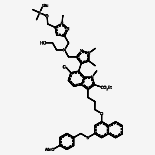 CCOC(=O)c1c(CCCOc2cc(SCc3ccc(OC)cc3)cc3ccccc23)c2ccc(Cl)c(-c3c(CN(CCO)Cc4cc(CO[Si](C)(C)C(C)(C)C)n(C)n4)nn(C)c3C)c2n1C